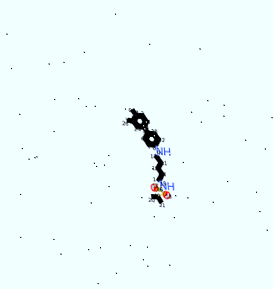 Cc1ccc(-c2ccc(NCCCCCNS(=O)(=O)C(C)C)cc2)cc1C